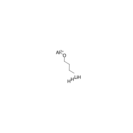 CCCC[O][Al+2].[H-].[H-].[LiH]